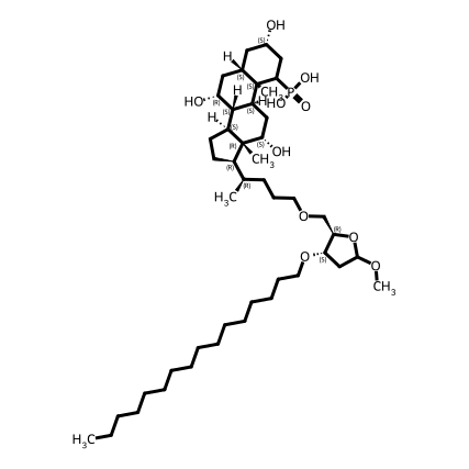 CCCCCCCCCCCCCCCCO[C@H]1CC(OC)O[C@@H]1COCCC[C@@H](C)[C@H]1CC[C@H]2[C@@H]3[C@H](O)C[C@@H]4C[C@H](O)CC(P(=O)(O)O)[C@]4(C)[C@H]3C[C@H](O)[C@]12C